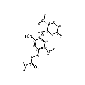 COC(=O)CCc1cc(N)c(N[C@@H]2C[C@H](C)CC[C@H]2C(C)C)cc1OC